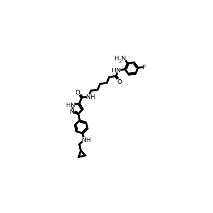 Nc1cc(F)ccc1NC(=O)CCCCCNC(=O)c1cc(-c2ccc(NCC3CC3)cc2)n[nH]1